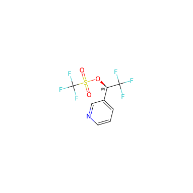 O=S(=O)(O[C@H](c1cccnc1)C(F)(F)F)C(F)(F)F